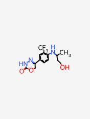 CC(CCO)Nc1ccc(C2=NNC(=O)OC2)cc1C(F)(F)F